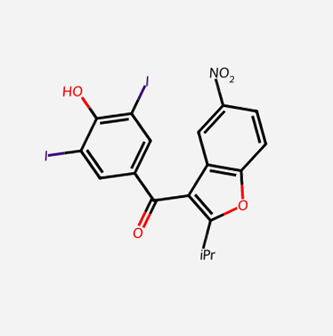 CC(C)c1oc2ccc([N+](=O)[O-])cc2c1C(=O)c1cc(I)c(O)c(I)c1